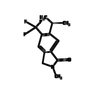 CC(C)c1cc2c(cc1C(F)(F)F)CN(C)C2=O